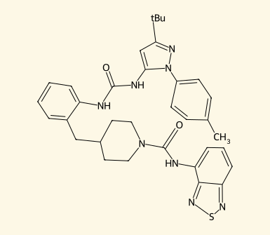 Cc1ccc(-n2nc(C(C)(C)C)cc2NC(=O)Nc2ccccc2CC2CCN(C(=O)Nc3cccc4nsnc34)CC2)cc1